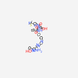 Cc1ncsc1-c1ccc(CNC(=O)[C@@H]2C[C@@H](O)CN2C(=O)[C@@H](NC(=O)[C@H]2CC[C@@H](c3ccc(CN4CCC(Cn5cc(-c6cc(-c7ccccc7O)nnc6N)cn5)CC4)cc3)CC2)C(C)(C)C)cc1